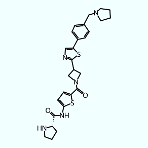 O=C(Nc1ccc(C(=O)N2CC(c3ncc(-c4ccc(CN5CCCC5)cc4)s3)C2)s1)[C@@H]1CCCN1